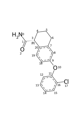 NC(=O)[C@@H]1CCCc2cc(Oc3ccccc3Cl)ccc21